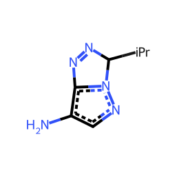 CC(C)C1N=Nc2c(N)cnn21